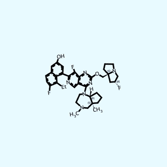 CCc1c(F)ccc2cc(O)cc(-c3ncc4c(N5CCN(C)C[C@]6(C)CCC[C@@H]56)nc(OC[C@@]56CCCN5C[C@H](F)C6)nc4c3F)c12